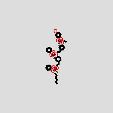 CCCCCCSP(=O)(OCCC1CCCC(SP(=O)(OCCc2cccc(SP(=O)(OCC)Oc3ccc(OC)cc3)c2)Oc2ccccc2)C1)Oc1ccccc1